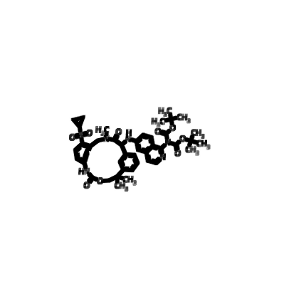 CN1Cc2cc(ccc2S(=O)(=O)C2CC2)NC(=O)OCC(C)(C)c2cccc(c2)C(Nc2ccc3c(N(C(=O)OC(C)(C)C)C(=O)OC(C)(C)C)nccc3c2)C1=O